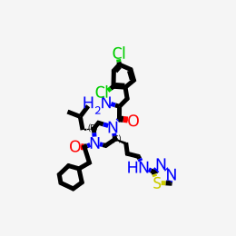 CC(C)C[C@@H]1CN(C(=O)C(N)Cc2ccc(Cl)cc2Cl)[C@@H](CCCNc2nncs2)CN1C(=O)CC1CCCCC1